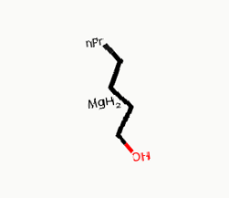 CCCCCCCO.[MgH2]